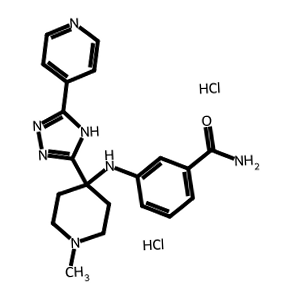 CN1CCC(Nc2cccc(C(N)=O)c2)(c2nnc(-c3ccncc3)[nH]2)CC1.Cl.Cl